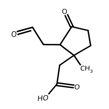 CC1(CC(=O)O)CCC(=O)C1CC=O